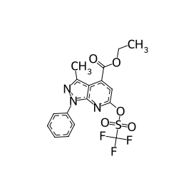 CCOC(=O)c1cc(OS(=O)(=O)C(F)(F)F)nc2c1c(C)nn2-c1ccccc1